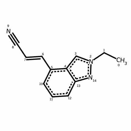 CCn1cc2c(C=CC#N)cccc2n1